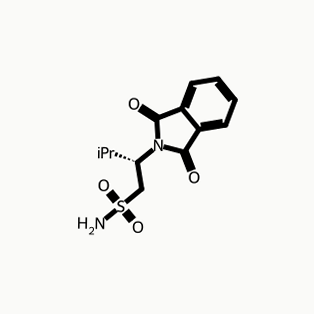 CC(C)[C@@H](CS(N)(=O)=O)N1C(=O)c2ccccc2C1=O